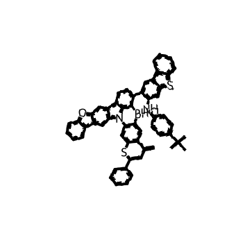 C=C1C=C(c2ccccc2)Sc2cc3c(cc21)Bc1c(-c2cc4c(cc2Nc2ccc(C(C)(C)C)cc2)sc2ccccc24)ccc2c4cc5oc6ccccc6c5cc4n-3c12